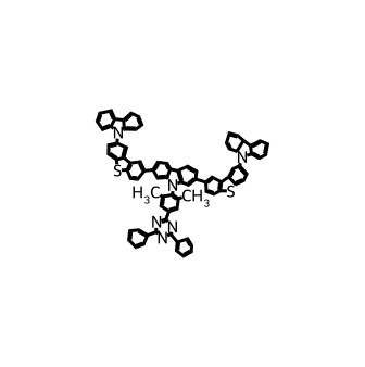 Cc1cc(-c2nc(-c3ccccc3)nc(-c3ccccc3)n2)cc(C)c1-n1c2cc(-c3ccc4sc5ccc(N6c7ccccc7C7C=CC=CC76)cc5c4c3)ccc2c2ccc(-c3ccc4sc5ccc(-n6c7ccccc7c7ccccc76)cc5c4c3)cc21